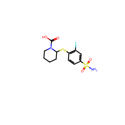 NS(=O)(=O)c1ccc(SC2CCCCN2C(=O)O)c(F)c1